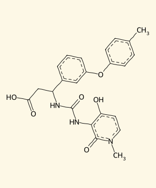 Cc1ccc(Oc2cccc(C(CC(=O)O)NC(=O)Nc3c(O)ccn(C)c3=O)c2)cc1